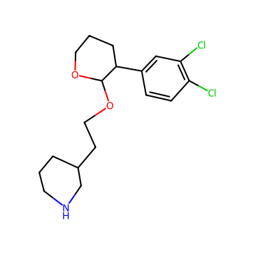 Clc1ccc(C2CCCOC2OCCC2CCCNC2)cc1Cl